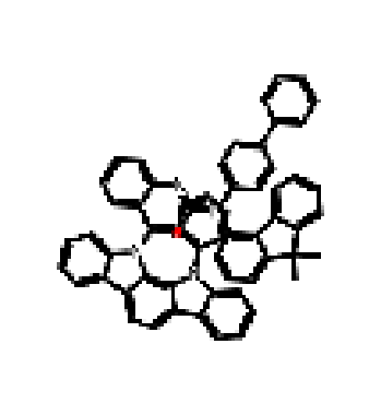 CC1(C)c2ccccc2-c2c(N(c3ccc(-c4ccccc4)cc3)c3nc(-n4c5ccccc5c5ccc6c7ccccc7n(-c7ccccc7)c6c54)c4ccccc4n3)cccc21